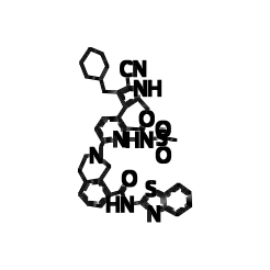 Cc1[nH]c(C#N)c(CC2CCCCC2)c1-c1ccc(N2CCc3cccc(C(=O)Nc4nc5ccccc5s4)c3C2)nc1C(=O)NS(C)(=O)=O